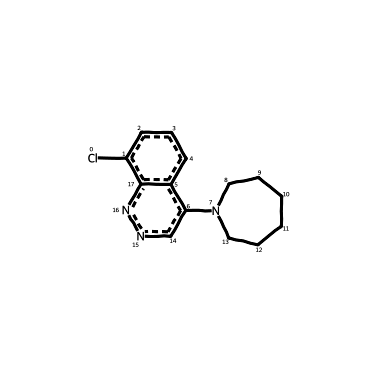 Clc1cccc2c(N3CCCCCC3)cnnc12